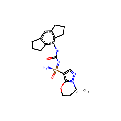 C[C@@H]1CCOc2c([S@](N)(=O)=NC(=O)Nc3c4c(cc5c3CCC5)CCC4)cnn21